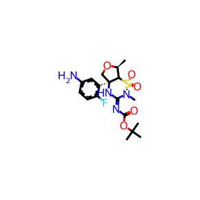 C[C@@H]1OC[C@]2(c3cc(N)ccc3F)N/C(=N/C(=O)OC(C)(C)C)N(C)S(=O)(=O)C12